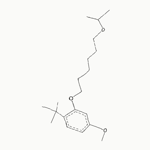 COc1ccc(C(C)(C)C)c(OCCCCCCOC(C)C)c1